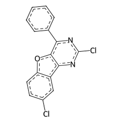 Clc1ccc2oc3c(-c4ccccc4)nc(Cl)nc3c2c1